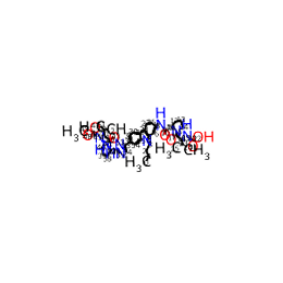 CCCCn1c2cc(NC(=O)[C@@H]3CCCN3C(=O)C(NC(=O)O)C(C)C)ccc2c2ccc(-c3c[nH]c([C@@H]4CCCN4C(=O)C(NC(=O)OC)C(C)C)n3)cc21